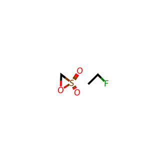 CCF.O=S1(=O)CO1